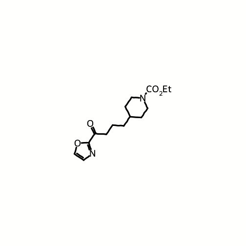 CCOC(=O)N1CCC(CCCC(=O)c2ncco2)CC1